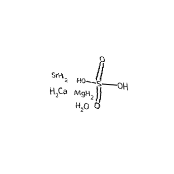 O.O=S(=O)(O)O.[CaH2].[MgH2].[SrH2]